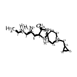 C=CN/C=C(\N)CC1NC2(CCN(CC3CC3)CC2)NC1=O